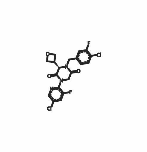 O=C1[C@H](C2COC2)N(Cc2ccc(Cl)c(F)c2)C(=O)CN1c1ncc(Cl)cc1F